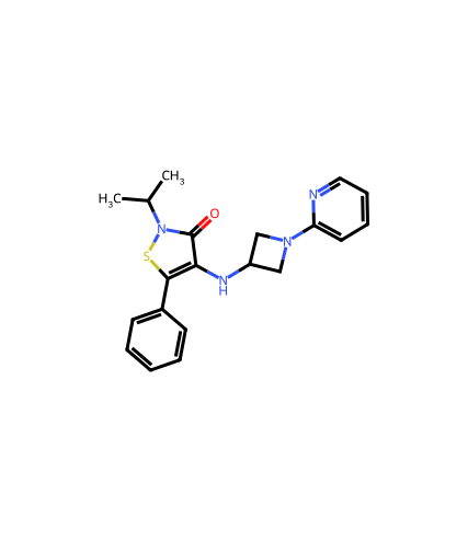 CC(C)n1sc(-c2ccccc2)c(NC2CN(c3ccccn3)C2)c1=O